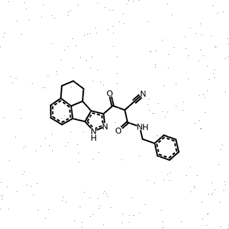 N#CC(C(=O)NCc1ccccc1)C(=O)c1n[nH]c2c1C1CCCc3cccc-2c31